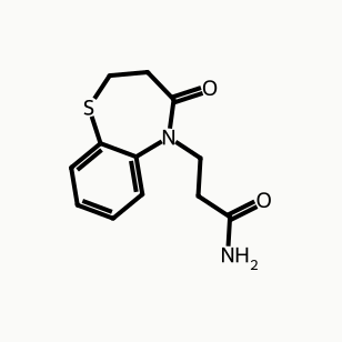 NC(=O)CCN1C(=O)CCSc2ccccc21